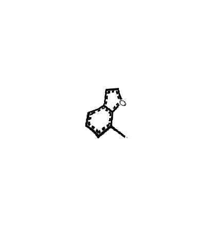 [CH2]c1cccc2ccoc12